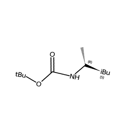 CC[C@H](C)[C@@H](C)NC(=O)OC(C)(C)C